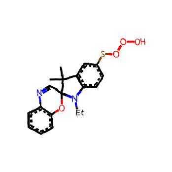 CCN1c2ccc(SOOO)cc2C(C)(C)C12C=Nc1ccccc1O2